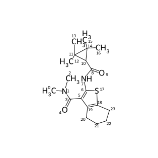 CN(C)C(=O)c1c(NC(=O)C2C(C)(C)C2(C)C)sc2c1CCCC2